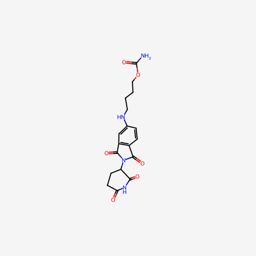 NC(=O)OCCCCNc1ccc2c(c1)C(=O)N(C1CCC(=O)NC1=O)C2=O